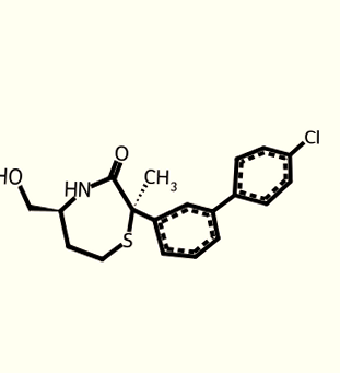 C[C@]1(c2cccc(-c3ccc(Cl)cc3)c2)SCC[C@@H](CO)NC1=O